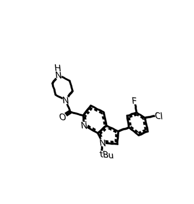 CC(C)(C)n1cc(-c2ccc(Cl)c(F)c2)c2ccc(C(=O)N3CCNCC3)nc21